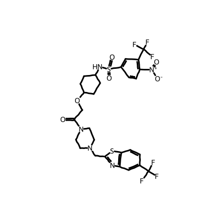 O=C(COC1CCC(NS(=O)(=O)c2ccc([N+](=O)[O-])c(C(F)(F)F)c2)CC1)N1CCN(Cc2nc3cc(C(F)(F)F)ccc3s2)CC1